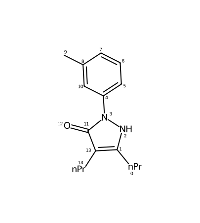 CCCc1[nH]n(-c2cccc(C)c2)c(=O)c1CCC